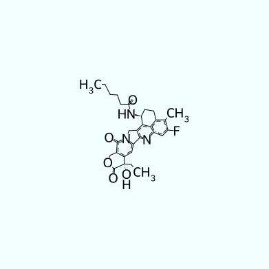 CCCCCC(=O)N[C@H]1CCc2c(C)c(F)cc3nc4c(c1c23)Cn1c-4cc2c(c1=O)COC(=O)[C@]2(O)CC